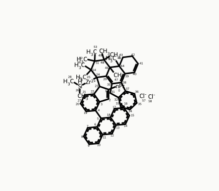 CCCC1=Cc2c(-c3c4ccccc4cc4ccccc34)cccc2C1[C]1([Zr+2][SiH](C)C)C2=C3Cc4ccccc4C3=C3C=CCCC3(C)C2(C)C(C)(C)C(C)(C)C1(C)C.[Cl-].[Cl-]